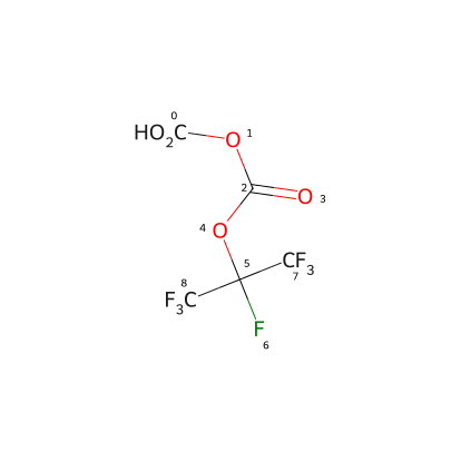 O=C(O)OC(=O)OC(F)(C(F)(F)F)C(F)(F)F